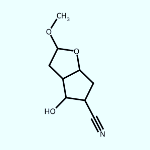 COC1CC2C(CC(C#N)C2O)O1